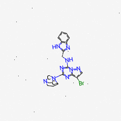 Brc1cnn2c(NCc3nc4ccccc4[nH]3)nc(N3CCN4CCC3CC4)nc12